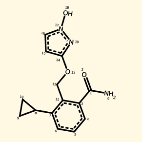 NC(=O)c1cccc(C2CC2)c1COc1ccn(O)n1